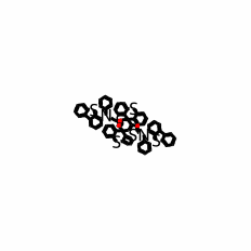 c1ccc(N(c2cc3c(s2)C2(c4ccccc4Sc4ccccc42)c2cc(N(c4ccccc4)c4cccc5c4sc4ccccc45)sc2C32c3ccccc3Sc3ccccc32)c2cccc3c2sc2ccccc23)cc1